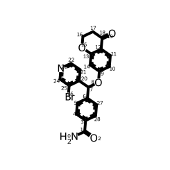 NC(=O)c1ccc(C(Oc2ccc3c(c2)OCCC3=O)c2ccncc2Br)cc1